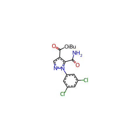 CC(C)COC(=O)c1cnn(-c2cc(Cl)cc(Cl)c2)c1C(N)=O